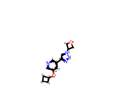 c1ncc(-c2cn(C3COC3)nn2)cc1OC1CCC1